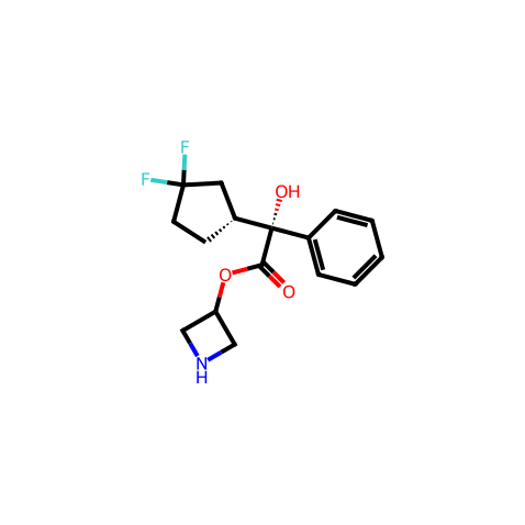 O=C(OC1CNC1)[C@](O)(c1ccccc1)[C@@H]1CCC(F)(F)C1